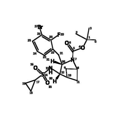 CC(C)(C)OC(=O)N1C2CC(C2)[C@H](NS(=O)(=O)C2CC2)[C@@H]1Cc1cccc(Br)c1F